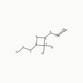 CCCC1CC(CN=O)C1(C)C